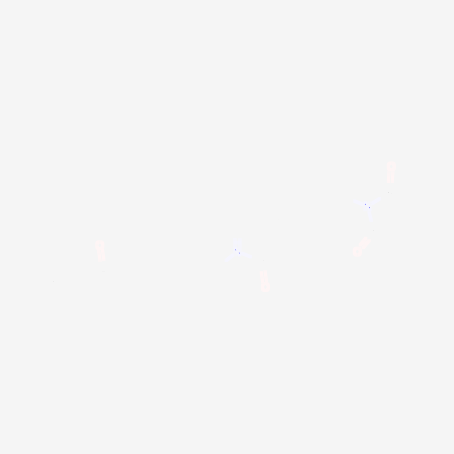 CCC(=O)CCCCCNC(=O)C1CCC(CN2C(=O)C=CC2=O)CC1